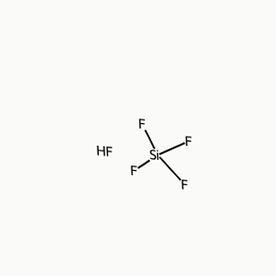 F.F[Si](F)(F)F